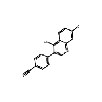 N#Cc1ccc(-c2cnc3cc(Cl)ccc3c2Cl)cc1